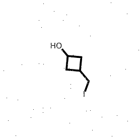 OC1CC(CI)C1